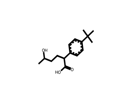 CC(O)CCC(C(=O)O)c1ccc(C(C)(C)C)cc1